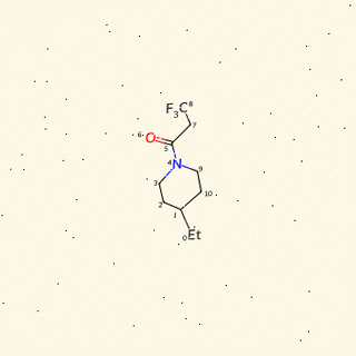 CCC1CCN(C(=O)CC(F)(F)F)CC1